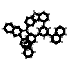 c1ccc2c(c1)CC(c1ccc3oc4cccc(-c5nc(-c6ccc7oc8ccccc8c7c6)nc(-c6cccc7ccccc67)n5)c4c3c1)c1cc3ccccc3cc1-2